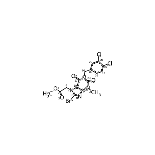 COC(=O)Cn1c(Br)nc2c1c(=O)n(Cc1ccc(Cl)c(Cl)c1)c(=O)n2C